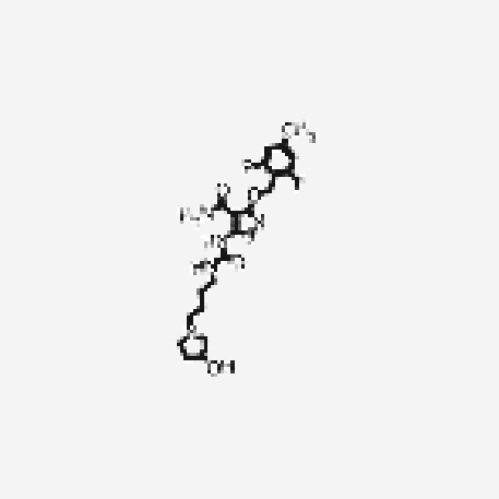 Cc1cc(F)c(COc2nsc(NC(=O)NCCCCN3CCC(O)C3)c2C(N)=O)c(F)c1